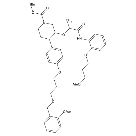 COCCCOc1ccccc1NC(=O)C(C)OC1CN(C(=O)OC(C)(C)C)CCC1c1ccc(OCCCOCc2ccccc2OC)cc1